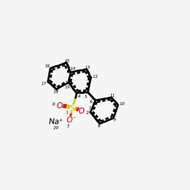 O=S(=O)([O-])c1c(-c2ccccc2)ccc2ccccc12.[Na+]